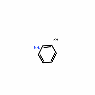 N.[KH].c1ccccc1